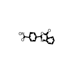 O=NC(=O)c1ccc(-c2nc3ccccc3c(=O)o2)cc1